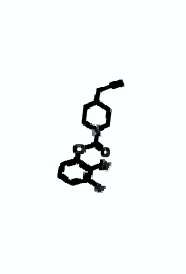 C#CCC1CCN(C(=O)Oc2cccc(Br)c2Br)CC1